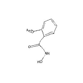 CC(=O)Oc1ccccc1C(=O)NO